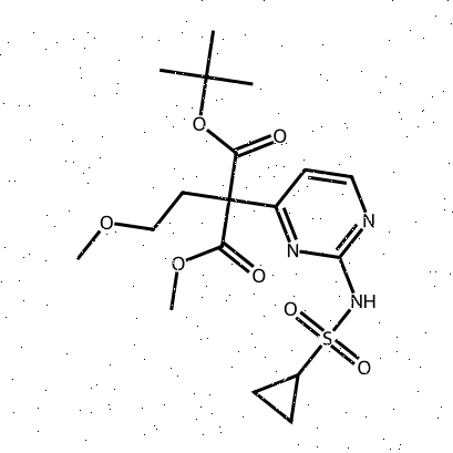 COCCC(C(=O)OC)(C(=O)OC(C)(C)C)c1ccnc(NS(=O)(=O)C2CC2)n1